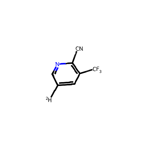 [2H]c1cnc(C#N)c(C(F)(F)F)c1